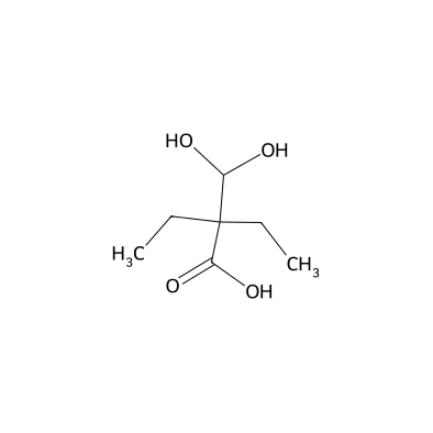 CCC(CC)(C(=O)O)C(O)O